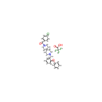 O=C(O)C(F)(F)F.O=C(c1ccc(Cl)cc1)N1CCC2(CCN(Cc3ccccc3Oc3ccccc3)CC2)CC1